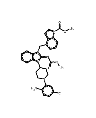 CC(C)(C)OC(=O)N=c1n(Cc2cccc3c2ccn3C(=O)OC(C)(C)C)c2ccccc2n1C1CCN(c2cc(Cl)ccc2N)CC1